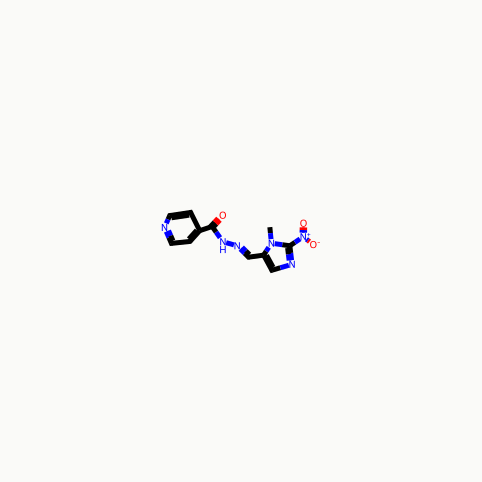 Cn1c(C=NNC(=O)c2ccncc2)cnc1[N+](=O)[O-]